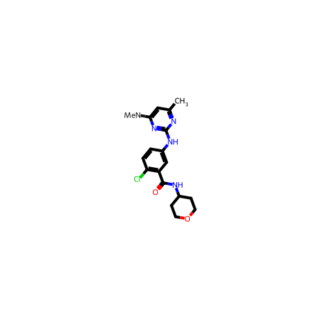 CNc1cc(C)nc(Nc2ccc(Cl)c(C(=O)NC3CCOCC3)c2)n1